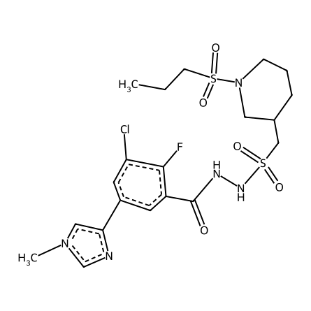 CCCS(=O)(=O)N1CCCC(CS(=O)(=O)NNC(=O)c2cc(-c3cn(C)cn3)cc(Cl)c2F)C1